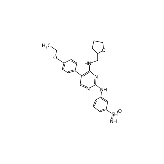 CCOc1ccc(-c2cnc(Nc3cccc([SH](=N)=O)c3)nc2NCC2CCCO2)cc1